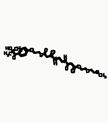 COCCOCCOC(=O)CC(=O)NCCNC(=O)CC(=O)OCCOc1ccc(C(=O)C(C)(C)O)cc1